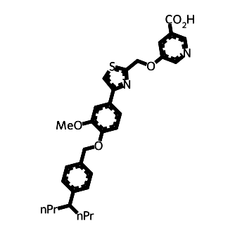 CCCC(CCC)c1ccc(COc2ccc(-c3csc(COc4cncc(C(=O)O)c4)n3)cc2OC)cc1